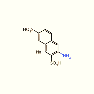 Nc1cc2ccc(S(=O)(=O)O)cc2cc1S(=O)(=O)O.[Na]